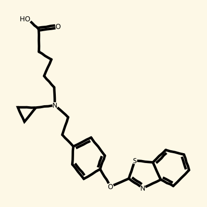 O=C(O)CCCCN(CCc1ccc(Oc2nc3ccccc3s2)cc1)C1CC1